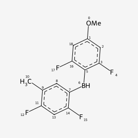 COc1cc(F)c(Bc2cc(C)c(F)cc2F)c(F)c1